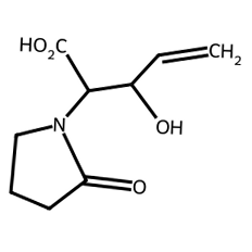 C=CC(O)C(C(=O)O)N1CCCC1=O